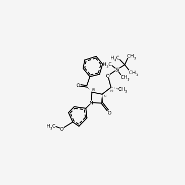 COc1ccc(N2C(=O)[C@H]([C@@H](C)O[Si](C)(C)C(C)(C)C)[C@H]2C(=O)c2ccccc2)cc1